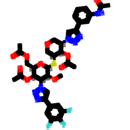 CO[C@@H]1[C@@H](n2cc(-c3cc(F)c(F)c(F)c3)nn2)[C@@H](OC(C)=O)[C@@H](COC(C)=O)O[C@H]1S[C@@H]1COC[C@H](n2cc(-c3cccc(NC(C)=O)c3)nn2)[C@H]1OC(C)=O